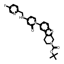 CC(C)(C)OC(=O)N1CCc2c(sc3ccc(-n4ccc(NCc5ccc(F)cn5)cc4=O)cc23)C1